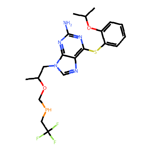 CC(C)Oc1ccccc1Sc1nc(N)nc2c1ncn2CC(C)OCPCC(F)(F)F